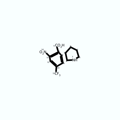 C1CCNCC1.O=C(O)c1ccc(C(F)(F)F)cc1[N+](=O)[O-]